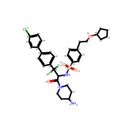 NC1CCN(C(=O)C(NS(=O)(=O)c2ccc(CCOC3CCCC3)cc2)C(F)(F)c2ccc(-c3ccc(Cl)cc3)cc2)CC1